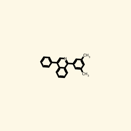 Cc1cc(C)cc(-c2ncc(-c3ccccc3)c3ccccc23)c1